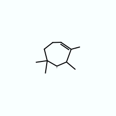 CC1=CCCC(C)(C)[CH]C1C